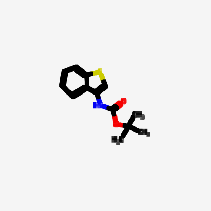 CC(C)(C)OC(=O)Nc1csc2ccccc12